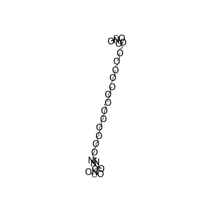 O=C(CCOCCOCCOCCOCCOCCOCCOCCOCCOCCOCCOCCOCCOCc1cn(CC(=O)ON2C(=O)CCC2=O)nn1)ON1C(=O)CCC1=O